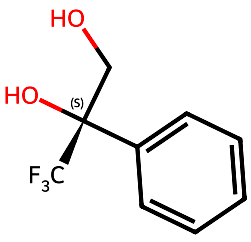 OC[C@@](O)(c1ccccc1)C(F)(F)F